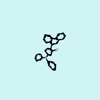 Clc1cc(N(c2ccccc2)c2ccccc2)ccc1-c1cc2ccccc2c2ccccc12